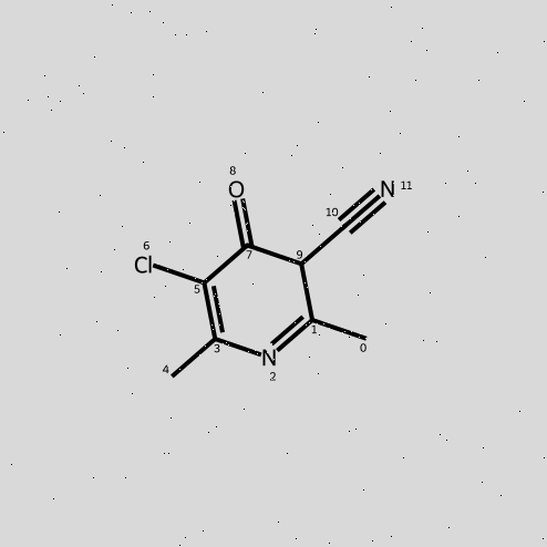 CC1=NC(C)=C(Cl)C(=O)C1C#N